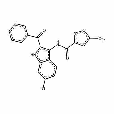 Cc1cc(C(=O)Nc2c(C(=O)c3ccccc3)[nH]c3cc(Cl)ccc23)no1